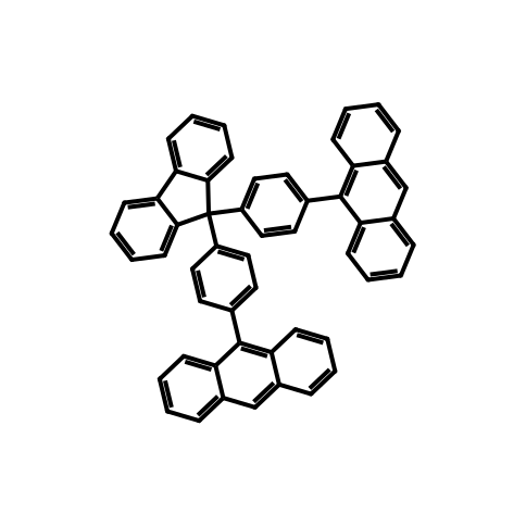 c1ccc2c(c1)-c1ccccc1C2(c1ccc(-c2c3ccccc3cc3ccccc23)cc1)c1ccc(-c2c3ccccc3cc3ccccc23)cc1